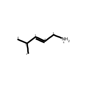 CC(C)C=CCN